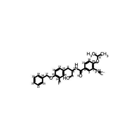 [C-]#[N+]c1cc(C(=O)NC(CO)Cc2ccc(OCc3ccccc3)c(F)c2)ccc1OC(C)C